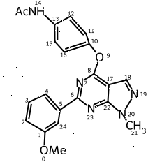 COc1cccc(-c2nc(Oc3ccc(NC(C)=O)cc3)c3cnn(C)c3n2)c1